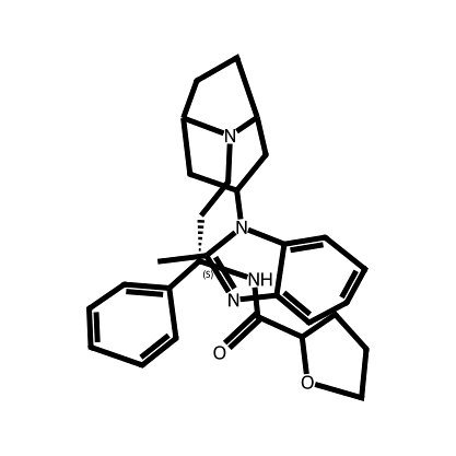 Cc1nc2ccccc2n1C1CC2CCC(C1)N2CC[C@H](NC(=O)C1CCCO1)c1ccccc1